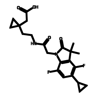 CC1(C)C(=O)N(CC(=O)NCCC2(CC(=O)O)CC2)c2c(F)cc(C3CC3)c(F)c21